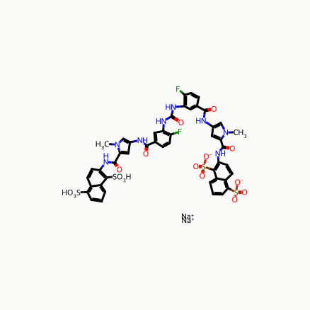 Cn1cc(NC(=O)c2ccc(F)c(NC(=O)Nc3cc(C(=O)Nc4cc(C(=O)Nc5ccc6c(S(=O)(=O)O)cccc6c5S(=O)(=O)O)n(C)c4)ccc3F)c2)cc1C(=O)Nc1ccc2c(S(=O)(=O)[O-])cccc2c1S(=O)(=O)[O-].[Na+].[Na+]